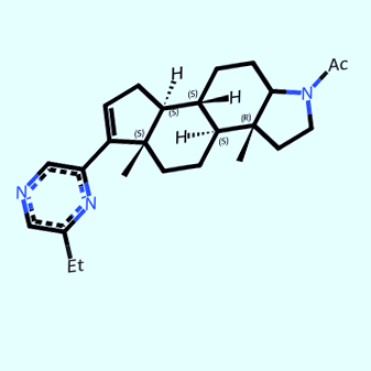 CCc1cncc(C2=CC[C@H]3[C@@H]4CCC5N(C(C)=O)CC[C@]5(C)[C@H]4CC[C@]23C)n1